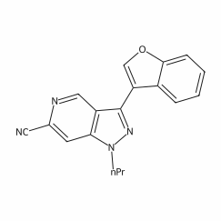 CCCn1nc(-c2coc3ccccc23)c2cnc(C#N)cc21